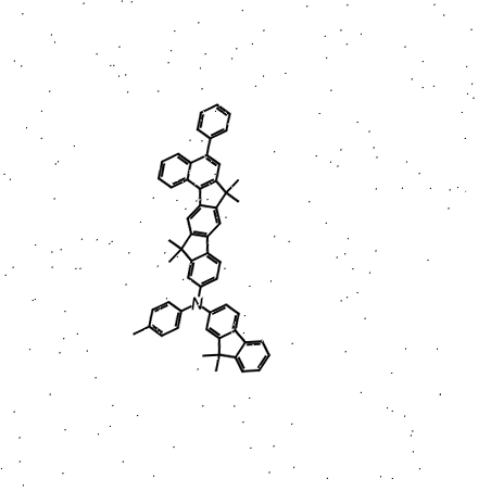 Cc1ccc(N(c2ccc3c(c2)C(C)(C)c2ccccc2-3)c2ccc3c(c2)C(C)(C)c2cc4c(cc2-3)C(C)(C)c2cc(-c3ccccc3)c3ccccc3c2-4)cc1